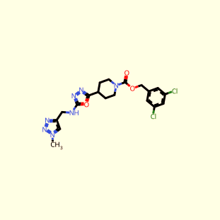 Cn1cc(CNc2nnc(C3CCN(C(=O)OCc4cc(Cl)cc(Cl)c4)CC3)o2)nn1